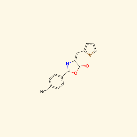 N#Cc1ccc(C2=NC(=Cc3cccs3)C(=O)O2)cc1